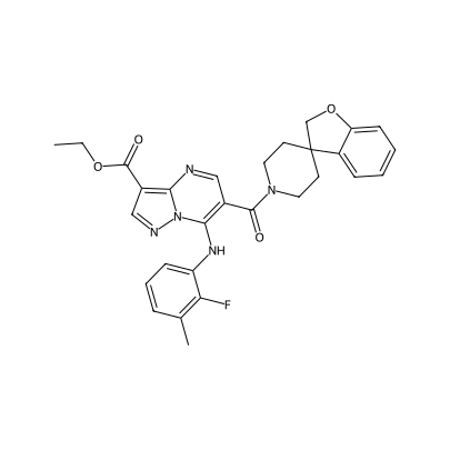 CCOC(=O)c1cnn2c(Nc3cccc(C)c3F)c(C(=O)N3CCC4(CC3)COc3ccccc34)cnc12